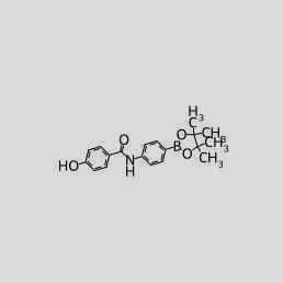 CC1(C)OB(c2ccc(NC(=O)c3ccc(O)cc3)cc2)OC1(C)C